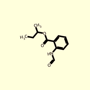 CCC(C)OC(=O)c1ccccc1NC=O